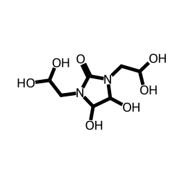 O=C1N(CC(O)O)C(O)C(O)N1CC(O)O